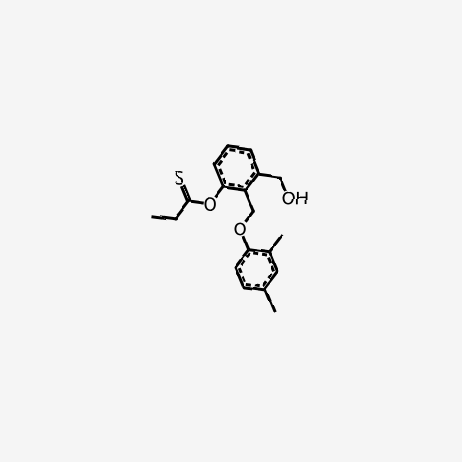 CCC(=S)Oc1cccc(CO)c1COc1ccc(C)cc1C